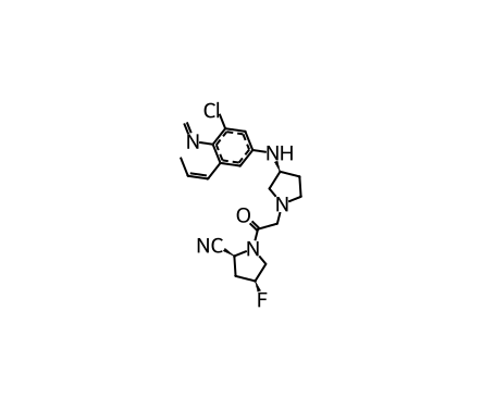 C=Nc1c(Cl)cc(N[C@H]2CCN(CC(=O)N3C[C@@H](F)C[C@H]3C#N)C2)cc1/C=C\C